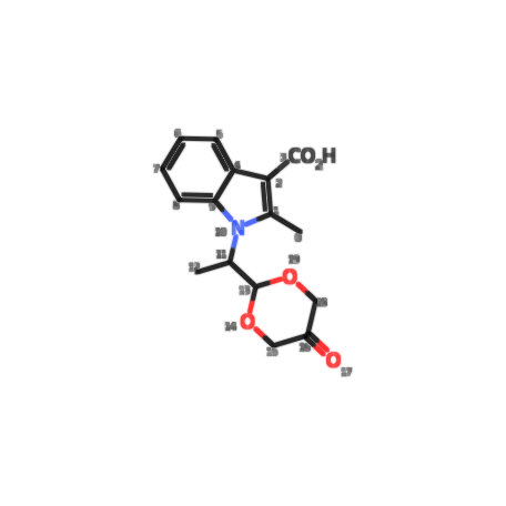 Cc1c(C(=O)O)c2ccccc2n1C(C)C1OCC(=O)CO1